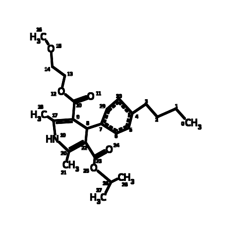 CCCCc1ccc(C2C(C(=O)OCCOC)=C(C)NC(C)=C2C(=O)OC(C)C)cc1